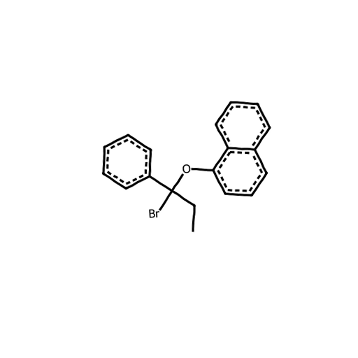 CCC(Br)(Oc1cccc2ccccc12)c1ccccc1